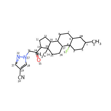 CC1CCC2(F)C(CCC3C4CCC(C(=O)Cn5cc(C#N)cn5)C4(C)CCC32)C1